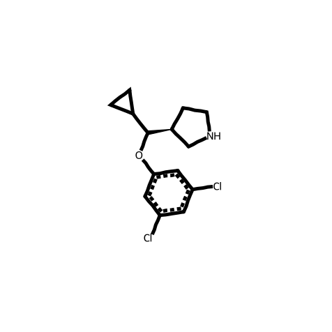 Clc1cc(Cl)cc(OC(C2CC2)[C@H]2CCNC2)c1